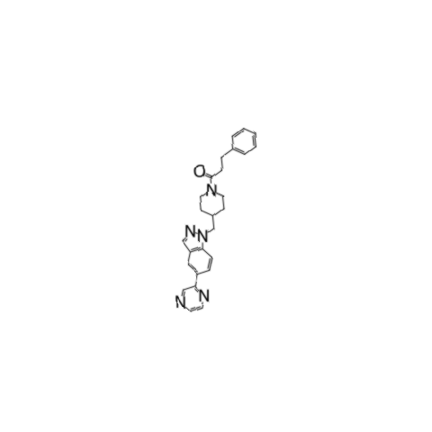 O=C(CCc1ccccc1)N1CCC(Cn2ncc3cc(-c4cnccn4)ccc32)CC1